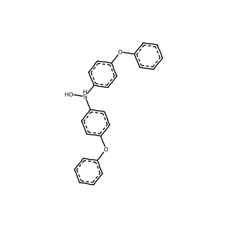 O[SiH](c1ccc(Oc2ccccc2)cc1)c1ccc(Oc2ccccc2)cc1